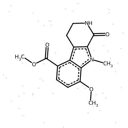 COC(=O)c1ccc(OC)c2c1c1c(n2C)C(=O)NCC1